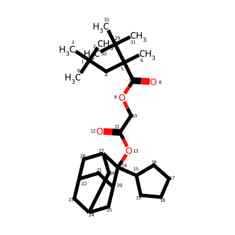 CC(C)(C)CC(C)(C(=O)OCC(=O)OC1(C2CCCC2)C2CC3CC(C2)CC1C3)C(C)(C)C